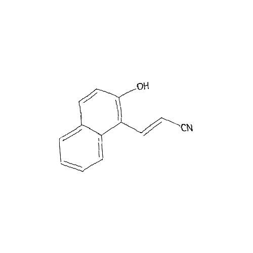 N#CC=Cc1c(O)ccc2ccccc12